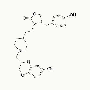 N#Cc1ccc2c(c1)O[C@@H](CN1CCC(CCN3C(=O)OC[C@@H]3Cc3ccc(O)cc3)CC1)CO2